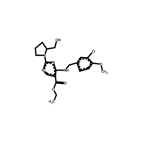 CCOC(=O)c1cnc(N2CCCC2CO)nc1NCc1ccc(OC)c(Cl)c1